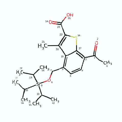 CC(=O)c1ccc(CO[Si](C(C)C)(C(C)C)C(C)C)c2c(C)c(C(=O)O)sc12